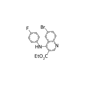 CCOC(=O)c1cnc2ccc(Br)cc2c1Nc1ccc(F)cc1